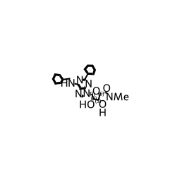 CNC(=O)[C@H]1O[C@@H](n2cnc3c(NCc4ccccc4)nc(-c4ccccc4)nc32)[C@H](O)[C@@H]1O